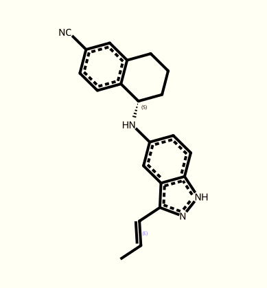 C/C=C/c1n[nH]c2ccc(N[C@H]3CCCc4cc(C#N)ccc43)cc12